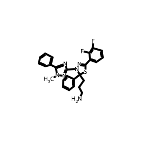 Cn1nc(N2N=C(c3cccc(F)c3F)SC2(CCCN)c2ccccc2)nc1-c1ccccc1